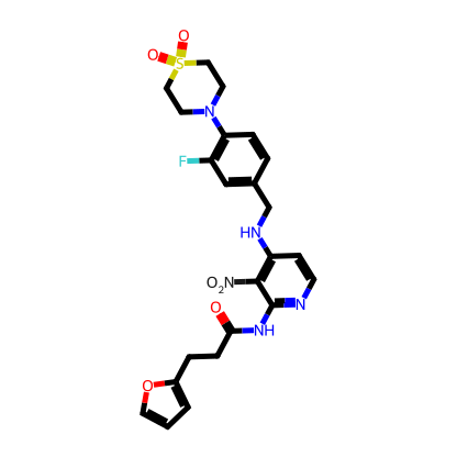 O=C(CCc1ccco1)Nc1nccc(NCc2ccc(N3CCS(=O)(=O)CC3)c(F)c2)c1[N+](=O)[O-]